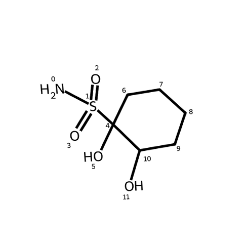 NS(=O)(=O)C1(O)CCCCC1O